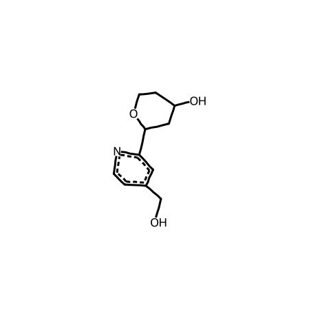 OCc1ccnc(C2CC(O)CCO2)c1